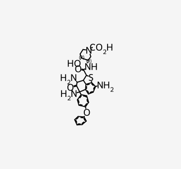 Nc1ccc2c3c1SC(C(=O)N[C@@H]1CN(C(=O)O)CC[C@H]1O)C3C(N)C(=O)C2(N)c1ccc(Oc2ccccc2)cc1